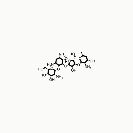 C[C@H]1C[C@H](O)[C@@H](N)[C@@H](O[C@H]2[C@@H](O)[C@H](O[C@@H]3[C@@H](O)[C@H](N)C[C@H](N)[C@H]3O[C@H]3O[C@H](CO)[C@@H](O)[C@H](O)[C@H]3N)O[C@@H]2CO)O1